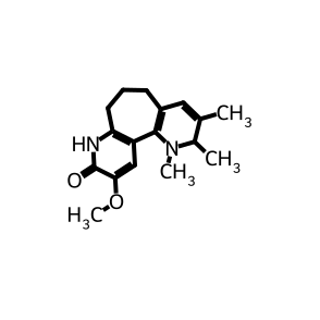 COc1cc2c([nH]c1=O)CCCC1=C2N(C)C(C)C(C)=C1